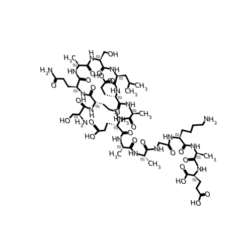 CSCC[C@H](NC(=O)[C@@H](N)CO)C(=O)N[C@@H](CCC(N)=O)C(=O)N[C@@H](C)C(=O)N[C@@H](CO)C(=O)N[C@@H](CC(C)C)C(=O)N[C@@H](CCC(=O)O)C(=O)N[C@@H](C)C(=O)N[C@@H](CCC(=O)O)C(=O)N[C@@H](C)C(=O)N[C@@H](C)C(=O)NCC(=O)N[C@@H](CCCCN)C(=O)N[C@@H](C)C(=O)N[C@@H](CCC(=O)O)C(=O)O